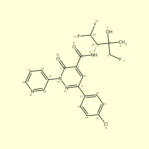 CC(O)(CF)[C@H](NC(=O)c1cc(-c2ccc(Cl)cc2)nn(-c2cccnc2)c1=O)C(F)F